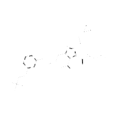 CC(F)SNC(=O)c1c2c(nn1CCC1CC1)C[C@H](CCc1cccc(OCC(C)(F)F)c1)NC2=O